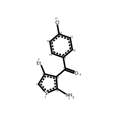 CCc1csc(N)c1C(=O)c1ccc(Cl)cc1